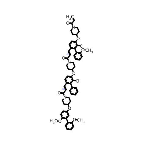 C=CC(=O)N1CCC(Oc2ccc(/C=C/C(=O)N3CCC(Oc4ccc(/C=C/C(=O)N5CCC(Oc6ccc(OC)c(-c7ccccc7OC)c6)CC5)c(-c5ccccc5)c4Cl)CC3)c(-c3ccccc3OC)c2Cl)CC1